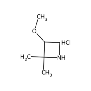 COC1CNC1(C)C.Cl